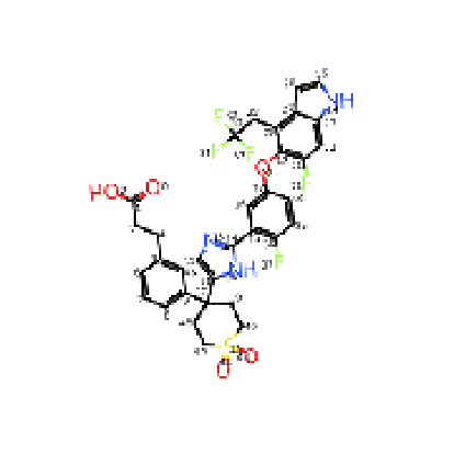 O=C(O)CCc1cccc(C2(c3cnc(-c4cc(Oc5c(F)cc6[nH]ccc6c5CC(F)(F)F)ccc4F)[nH]3)CCS(=O)(=O)CC2)c1